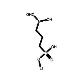 CCOP(=O)(O)CCCN(O)C=O